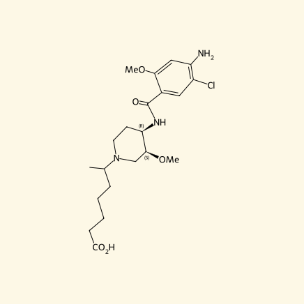 COc1cc(N)c(Cl)cc1C(=O)N[C@@H]1CCN(C(C)CCCCC(=O)O)C[C@@H]1OC